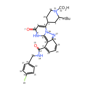 CC(C)(C)C1CC(c2cc(=O)[nH]c3c4c(C(=O)NCc5ccc(F)cc5)cccc4nn23)CCN1C(=O)O